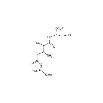 COc1cccc(CC(N)C(O)C(=O)N[C@@H](CC(C)C)C(=O)O)c1